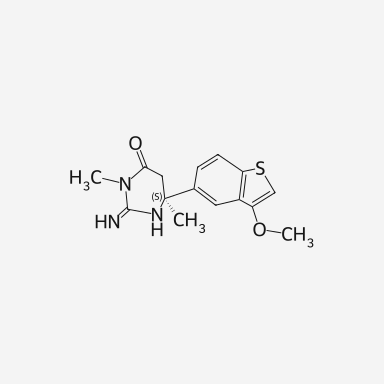 COc1csc2ccc([C@]3(C)CC(=O)N(C)C(=N)N3)cc12